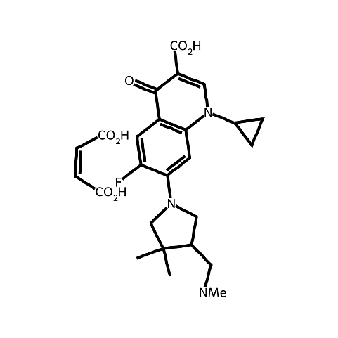 CNCC1CN(c2cc3c(cc2F)c(=O)c(C(=O)O)cn3C2CC2)CC1(C)C.O=C(O)/C=C\C(=O)O